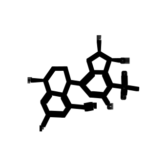 CS(=O)(=O)c1c(Cl)cc(C2CC[C@H](F)c3cc(F)cc(C#N)c32)c2c1[C@H](O)[C@H](F)C2